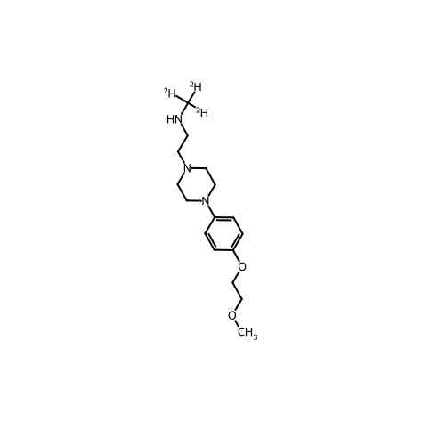 [2H]C([2H])([2H])NCCN1CCN(c2ccc(OCCOC)cc2)CC1